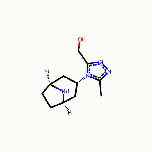 Cc1nnc(CO)n1[C@@H]1C[C@H]2CC[C@@H](C1)N2